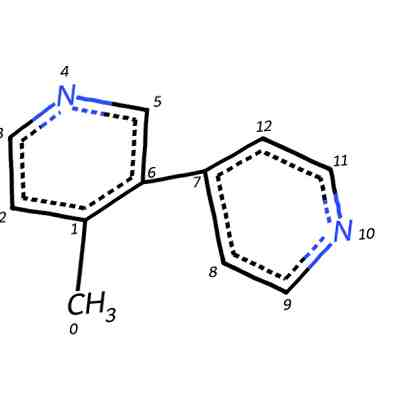 Cc1ccncc1-c1ccncc1